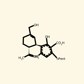 C=C(C)[C@@H]1CCC(CO)=C[C@H]1c1c(O)cc(CCCCC)c(C(=O)O)c1O